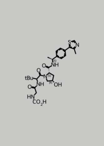 Cc1ncsc1-c1ccc([C@H](C)NC(=O)[C@@H]2C[C@@H](O)CN2C(=O)C(NC(=O)CNC(=O)O)C(C)(C)C)cc1